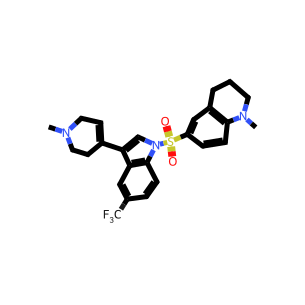 CN1CC=C(c2cn(S(=O)(=O)c3ccc4c(c3)CCCN4C)c3ccc(C(F)(F)F)cc23)CC1